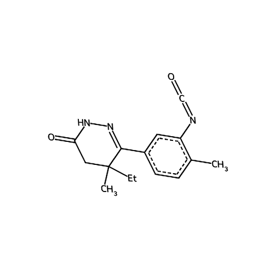 CCC1(C)CC(=O)NN=C1c1ccc(C)c(N=C=O)c1